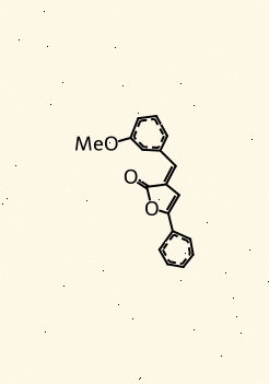 COc1cccc(C=C2C=C(c3ccccc3)OC2=O)c1